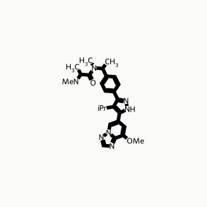 CNC(C)C(=O)N(C)C(C)c1ccc(-c2n[nH]c(-c3cc(OC)c4ncnn4c3)c2C(C)C)cc1